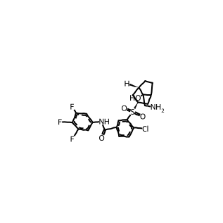 NC[C@@]1(O)C2CC[C@H]1C[C@H](S(=O)(=O)c1cc(C(=O)Nc3cc(F)c(F)c(F)c3)ccc1Cl)C2